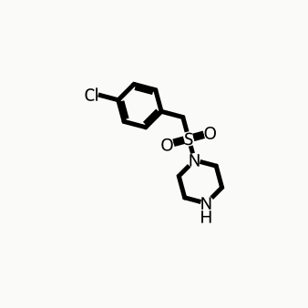 O=S(=O)(Cc1ccc(Cl)cc1)N1CCNCC1